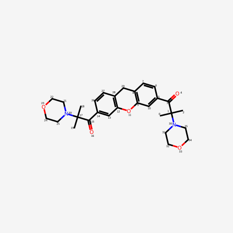 CC(C)(C(=O)c1ccc2c(c1)Oc1cc(C(=O)C(C)(C)N3CCOCC3)ccc1C2)N1CCOCC1